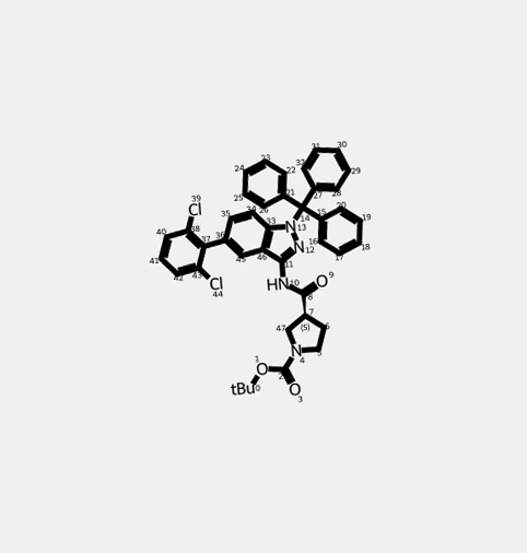 CC(C)(C)OC(=O)N1CC[C@H](C(=O)Nc2nn(C(c3ccccc3)(c3ccccc3)c3ccccc3)c3ccc(-c4c(Cl)cccc4Cl)cc23)C1